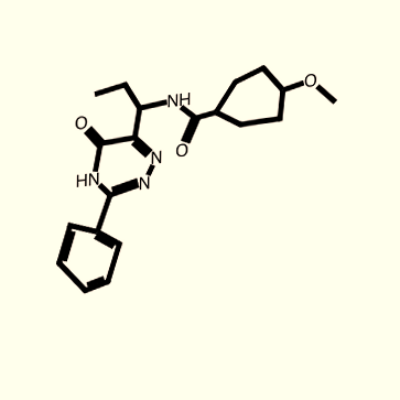 CCC(NC(=O)C1CCC(OC)CC1)c1nnc(-c2ccccc2)[nH]c1=O